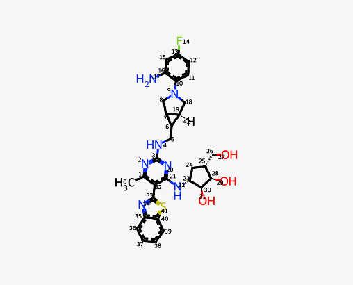 Cc1nc(NCC2C3CN(c4ccc(F)cc4N)C[C@@H]23)nc(N[C@@H]2C[C@H](CO)[C@@H](O)[C@H]2O)c1-c1nc2ccccc2s1